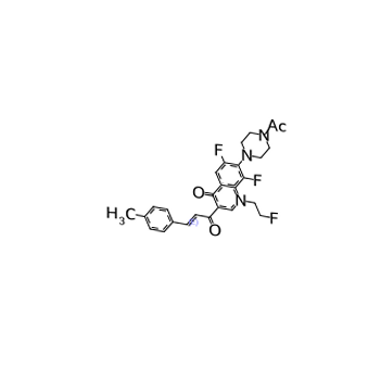 CC(=O)N1CCN(c2c(F)cc3c(=O)c(C(=O)/C=C/c4ccc(C)cc4)cn(CCF)c3c2F)CC1